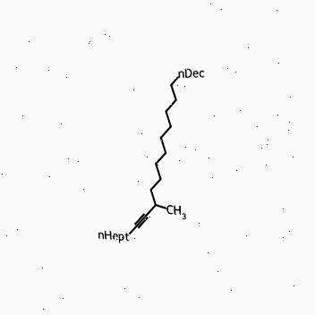 [CH2]CCCCCCC#CC(C)CCCCCCCCCCCCCCCCCC[CH2]